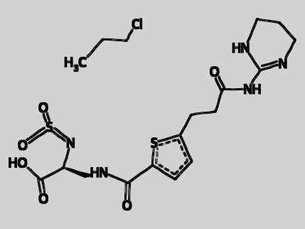 CCCCl.O=C(CCc1ccc(C(=O)NC[C@H](N=S(=O)=O)C(=O)O)s1)NC1=NCCCN1